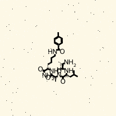 Cc1ccc(C(=O)NCCCC[C@H](NC(=O)[C@H](C)NC(=O)[C@H](CC(C)C)NC(=O)[C@H](C)N)C(N)=O)cc1